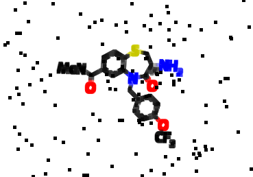 CNC(=O)c1ccc2c(c1)N(Cc1ccc(OC(F)(F)F)cc1)C(=O)[C@@H](N)CS2